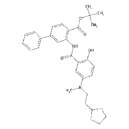 CN(CCN1CCCC1)c1ccc(O)c(C(=O)Nc2cc(-c3ccccc3)ccc2C(=O)OC(C)(C)C)c1